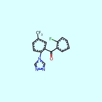 O=C(c1ccccc1F)c1cc(C(F)(F)F)ccc1-n1cnnc1